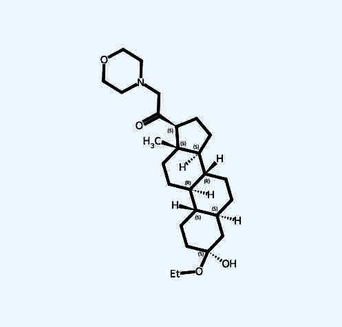 CCO[C@@]1(O)CC[C@H]2[C@@H](CC[C@@H]3[C@@H]2CC[C@]2(C)[C@@H](C(=O)CN4CCOCC4)CC[C@@H]32)C1